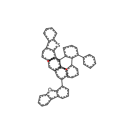 c1ccc(-c2ccccc2-c2c(-c3ccccc3)cccc2N(c2ccc(-c3cccc4c3oc3ccccc34)cc2)c2cccc3c2sc2ccccc23)cc1